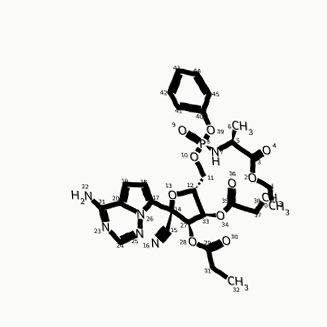 CCOC(=O)[C@H](C)N[P@](=O)(OC[C@H]1O[C@@](C#N)(c2ccc3c(N)ncnn23)[C@H](OC(=O)CC)[C@@H]1OC(=O)CC)Oc1ccccc1